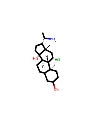 CC(N)[C@H]1CC[C@]2(O)[C@@H]3CCC4CC(O)CC[C@]4(C)[C@H]3CC[C@]12C.Cl